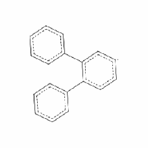 [c]1ccc(-c2ccccc2)c(-c2ccccc2)c1